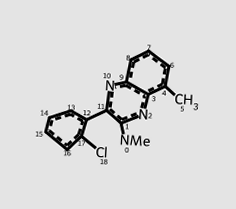 CNc1nc2c(C)cccc2nc1-c1ccccc1Cl